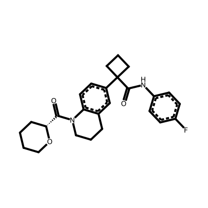 O=C([C@H]1CCCCO1)N1CCCc2cc(C3(C(=O)Nc4ccc(F)cc4)CCC3)ccc21